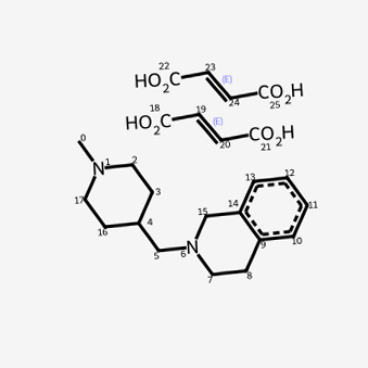 CN1CCC(CN2CCc3ccccc3C2)CC1.O=C(O)/C=C/C(=O)O.O=C(O)/C=C/C(=O)O